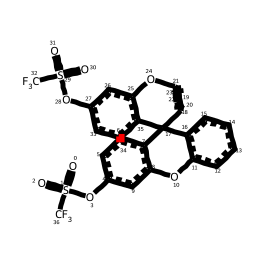 O=S(=O)(Oc1ccc2c(c1)Oc1ccccc1C21c2ccccc2Oc2cc(OS(=O)(=O)C(F)(F)F)ccc21)C(F)(F)F